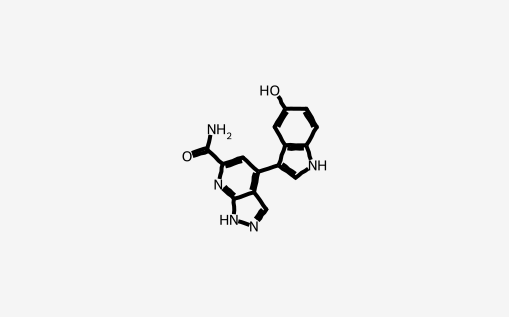 NC(=O)c1cc(-c2c[nH]c3ccc(O)cc23)c2cn[nH]c2n1